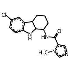 Cn1cncc1C(=O)NC1CCCC2c3cc(Cl)ccc3NC12